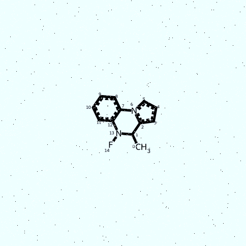 CC1c2cccn2-c2ccccc2N1F